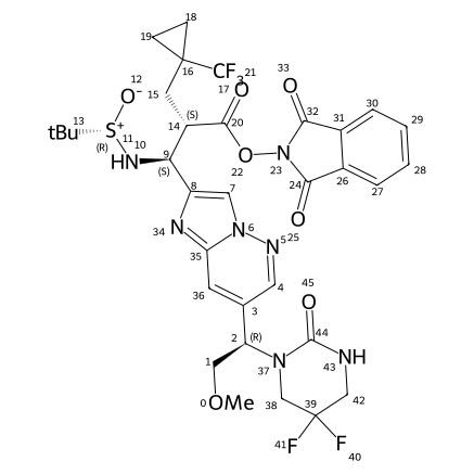 COC[C@@H](c1cnn2cc([C@@H](N[S@@+]([O-])C(C)(C)C)[C@H](CC3(C(F)(F)F)CC3)C(=O)ON3C(=O)c4ccccc4C3=O)nc2c1)N1CC(F)(F)CNC1=O